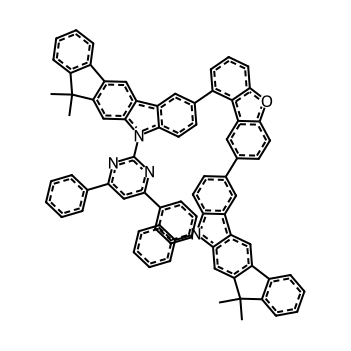 CC1(C)c2ccccc2-c2cc3c4cc(-c5ccc6oc7cccc(-c8ccc9c(c8)c8cc%10c(cc8n9-c8nc(-c9ccccc9)cc(-c9ccccc9)n8)C(C)(C)c8ccccc8-%10)c7c6c5)ccc4n(-c4ccccc4)c3cc21